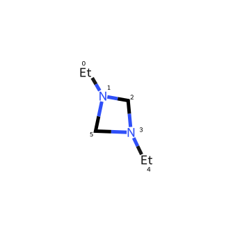 CCN1CN(CC)C1